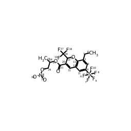 CCc1cc(S(F)(F)(F)(F)F)cc2c1OC(C(F)(F)F)C(C(=O)OC(C)CO[N+](=O)[O-])=C2